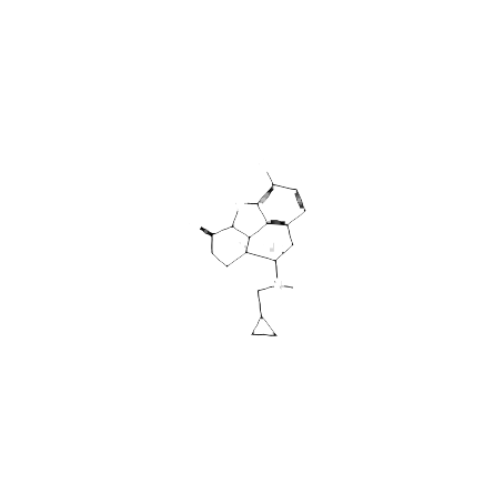 CCC[C@@]12c3c4ccc(O)c3OC1C(=O)CCC2C(N(C)CC1CC1)C4